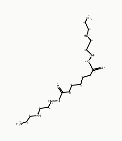 NCCNCCNOC(=O)CCCCCC(=O)ONCCNCCN